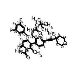 Cc1c(-c2ccc(C#CC3(O)CCOCC3)nc2[C@H](Cc2cc(F)cc(F)c2)NC(=O)OC(C)(C)C)ccc2n[nH]c(=O)n12